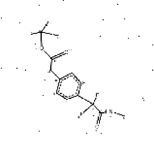 CNC(=O)C(F)(F)c1ccc(CC(=O)OC(C)(C)C)cc1